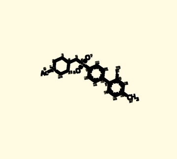 CC(=O)N1CCC(CS(=O)(=O)c2ccc(-c3ccc(C)cc3F)cc2)CC1